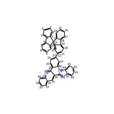 c1ccc2c(c1)-c1ccccc1C21c2ccccc2-c2ccc(-c3ccc4c5nc6ccccc6cc5c5nc6ccccc6n5c4c3)cc21